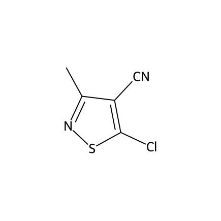 Cc1nsc(Cl)c1C#N